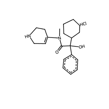 CN(C(=O)C(O)(c1ccccc1)C1CCCCC1)C1=CCNCC1.Cl